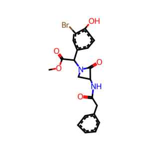 COC(=O)C(c1ccc(O)c(Br)c1)N1CC(NC(=O)Cc2ccccc2)C1=O